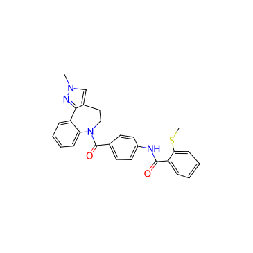 CSc1ccccc1C(=O)Nc1ccc(C(=O)N2CCc3cn(C)nc3-c3ccccc32)cc1